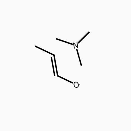 CC=C[O].CN(C)C